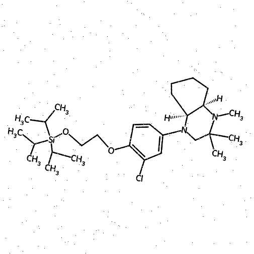 CC(C)[Si](OCCOc1ccc(N2CC(C)(C)N(C)[C@@H]3CCCC[C@@H]32)cc1Cl)(C(C)C)C(C)C